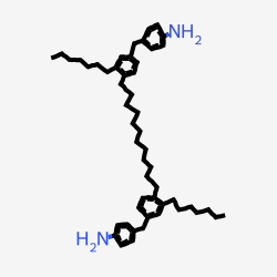 CCCCCCCc1cc(Cc2ccc(N)cc2)ccc1CCCCCCCCCCCCc1ccc(Cc2ccc(N)cc2)cc1CCCCCCC